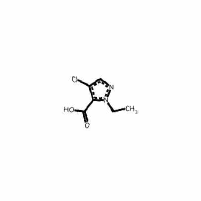 CCn1ncc(Cl)c1C(=O)O